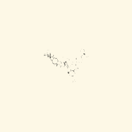 COc1ccc2c(c1)O[C@@H](C1CCC(C(=O)O)CC1)C[C@H]2NC(=O)[C@]1(C)COc2cc3c(cc21)OC(F)(F)O3